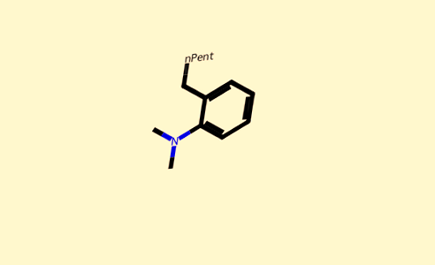 CCCCCCc1ccccc1N(C)C